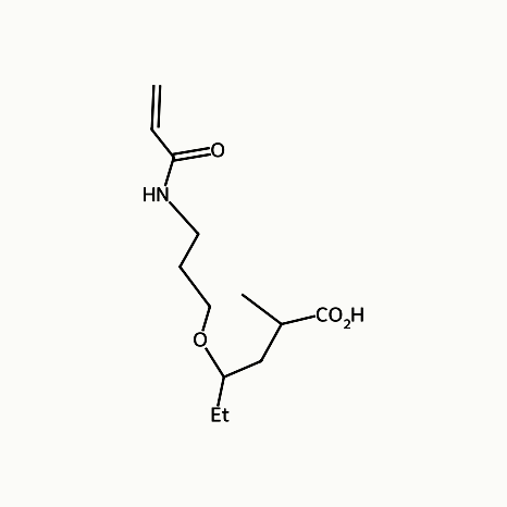 C=CC(=O)NCCCOC(CC)CC(C)C(=O)O